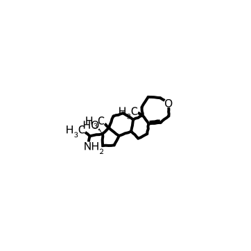 CC(N)[C@]1(O)CCC2C3CC/C4=C/COCCCC4(C)C3CCC21C